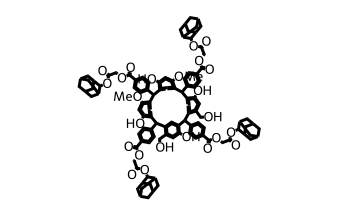 COc1cc(O)c2cc1C(c1ccc(C(=O)OCC(=O)OC3C4CC5CC(C4)CC3C5)cc1)c1cc(c(OC)cc1O)C(c1ccc(C(=O)OCC(=O)OC3C4CC5CC(C4)CC3C5)cc1)c1cc(c(CO)cc1O)C(c1ccc(C(=O)OCC(=O)OC3C4CC5CC(C4)CC3C5)cc1)c1cc(c(CO)cc1O)C2c1ccc(C(=O)OCC(=O)OC2C3CC4CC(C3)CC2C4)cc1